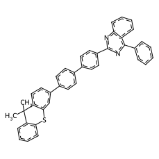 CC1(C)c2ccccc2Sc2cc(-c3ccc(-c4ccc(-c5nc(-c6ccccc6)c6ccccc6n5)cc4)cc3)ccc21